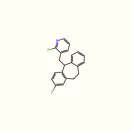 Fc1ccc2c(c1)CCc1ccccc1C2Cc1cccnc1F